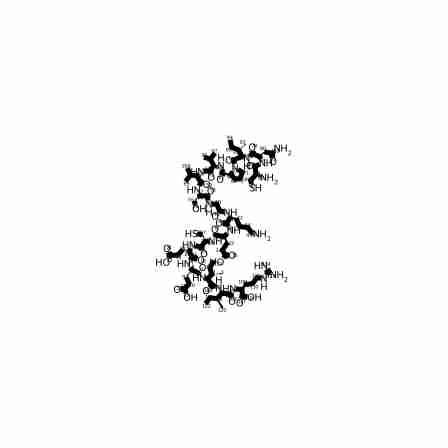 CC[C@H](C)[C@H](NC(=O)[C@H](CCC(=O)O)NC(=O)[C@H](CCC(=O)O)NC(=O)[C@H](CS)NC(=O)[C@H](CCC(=O)O)NC(=O)[C@H](CCCCN)NC(=O)CNC(=O)[C@H](CO)NC(=O)[C@@H](NC(=O)[C@@H](NC(=O)[C@@H]1CCCN1C(=O)[C@@H](NC(=O)[C@H](CC(N)=O)NC(=O)[C@@H](N)CS)[C@@H](C)CC)C(C)C)C(C)C)C(=O)N[C@H](C(=O)N[C@@H](CCCNC(=N)N)C(=O)O)[C@@H](C)CC